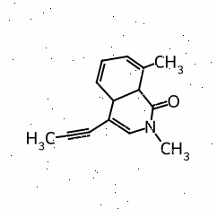 CC#CC1=CN(C)C(=O)C2C(C)=CC=CC12